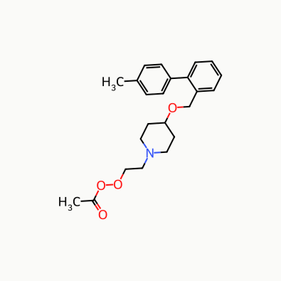 CC(=O)OOCCN1CCC(OCc2ccccc2-c2ccc(C)cc2)CC1